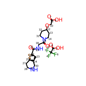 O=C(O)C(F)(F)F.O=C(O)COC1CCN(C(=O)CNC(=O)c2cc3c(s2)CCNC3)CC1